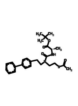 CC(=O)SCCN(CCc1ccc(-c2ccccc2)cc1)C(=O)N[C@@H](C)C(=O)OC(C)(C)C